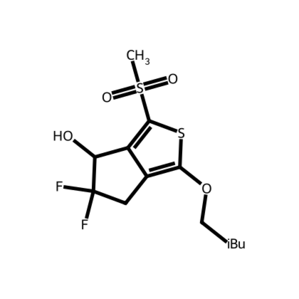 CCC(C)COc1sc(S(C)(=O)=O)c2c1CC(F)(F)C2O